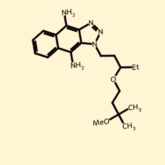 CCC(CCn1nnc2c(N)c3ccccc3c(N)c21)OCCC(C)(C)OC